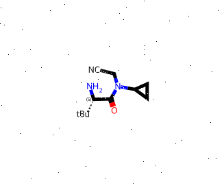 CC(C)(C)[C@H](N)C(=O)N(CC#N)C1CC1